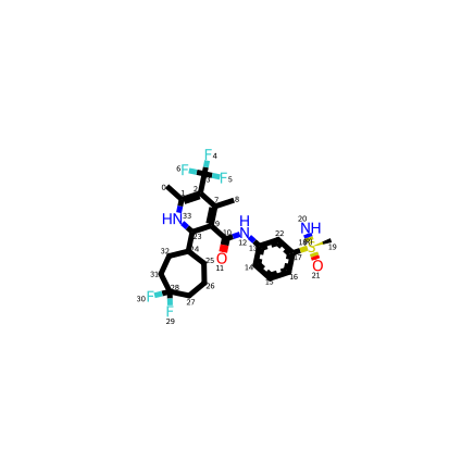 CC1=C(C(F)(F)F)C(C)=C(C(=O)Nc2cccc([S@](C)(=N)=O)c2)C(C2CCCC(F)(F)CC2)N1